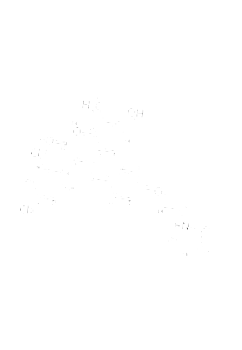 Cc1c(O)ccc2c(Cc3ccc(OCCN4CCCC4)cc3)c(-c3ccc(Cl)cc3Cl)c(=O)oc12